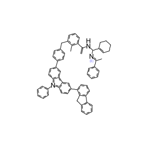 C=C(NC(/N=C(\C)c1ccccc1)C1=CCCCC1)c1cccc(Cc2ccc(-c3ccc4c(c3)c3cc(-c5cccc6c5Cc5ccccc5-6)ccc3n4-c3ccccc3)cc2)c1C